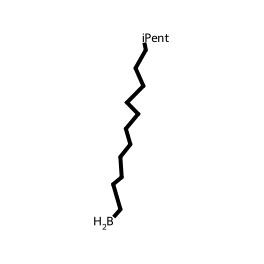 BCCCCCCCCCCCC(C)CCC